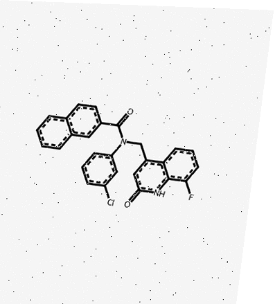 O=C(c1ccc2ccccc2c1)N(Cc1cc(=O)[nH]c2c(F)cccc12)c1cccc(Cl)c1